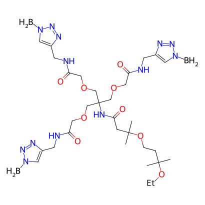 Bn1cc(CNC(=O)COCC(COCC(=O)NCc2cn(B)nn2)(COCC(=O)NCc2cn(B)nn2)NC(=O)CC(C)(C)OCCC(C)(C)OCC)nn1